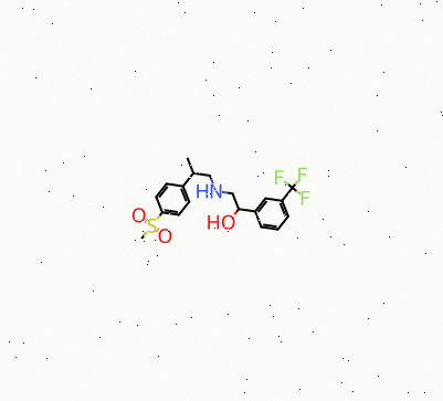 CC(CNCC(O)c1cccc(C(F)(F)F)c1)c1ccc(S(C)(=O)=O)cc1